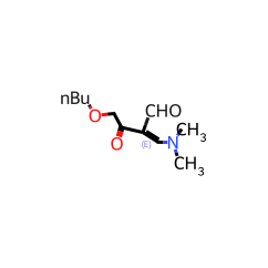 CCCCOCC(=O)/C(C=O)=C/N(C)C